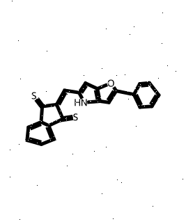 S=C1C(=Cc2cc3oc(-c4ccccc4)cc3[nH]2)C(=S)c2ccccc21